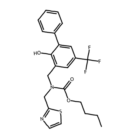 CCCCOC(=O)N(Cc1nccs1)Cc1cc(C(F)(F)F)cc(-c2ccccc2)c1O